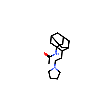 CC(=O)NC12CC3CC(CC(C3)C1CCN1CCCC1)C2